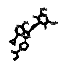 C=CC(=O)N1CC[C@H](c2nc(C#Cc3c(F)c(OC)nc(OC)c3F)c3c(N)ncc(C4CC4)n23)C1